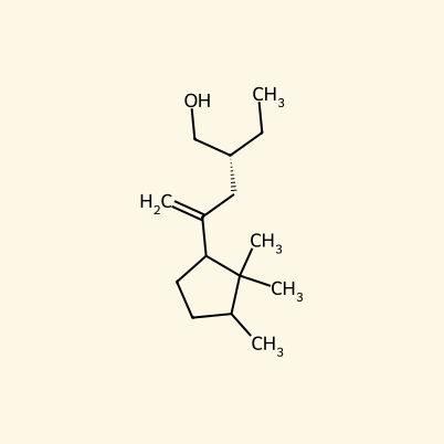 C=C(C[C@@H](CC)CO)C1CCC(C)C1(C)C